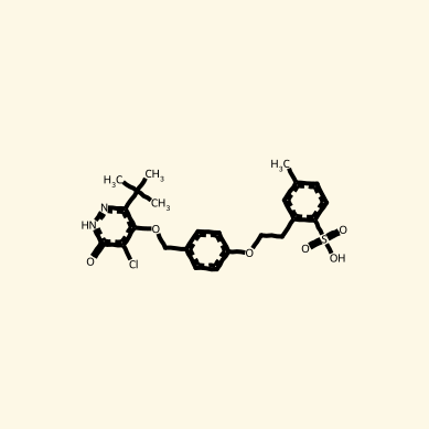 Cc1ccc(S(=O)(=O)O)c(CCOc2ccc(COc3c(C(C)(C)C)n[nH]c(=O)c3Cl)cc2)c1